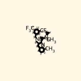 Cc1cccc2cc(CNCc3cc(C(F)(F)F)cc(C(F)(F)F)c3)c(C3CC3N(C)C3CC3)nc12